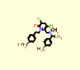 Cc1ccc(C(C)N(C)Cc2c(Cl)cc(Cl)c(=O)n2CCc2ccc(C(=O)O)cc2)cc1